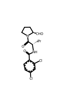 CC(C)[C@H](NC(=O)c1ccc(Cl)cc1Cl)C(=O)N1CCC[C@H]1C=O